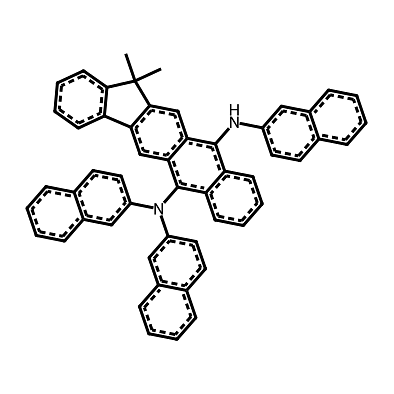 CC1(C)c2ccccc2-c2cc3c(N(c4ccc5ccccc5c4)c4ccc5ccccc5c4)c4ccccc4c(Nc4ccc5ccccc5c4)c3cc21